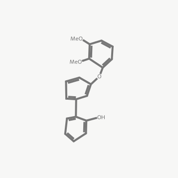 COc1cccc(Oc2cccc(-c3ccccc3O)c2)c1OC